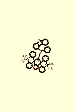 C[Si]1(C)c2ccccc2C2(c3ccccc31)c1cc(N(c3ccccc3)c3cccc4oc5ccccc5c34)sc1C1(c3ccccc3[Si](C)(C)c3ccccc31)c1ccsc12